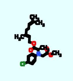 COC(=O)CN(c1ccc(Cl)cc1)[C@H](C)C(=O)OC/C=C(\C)CCC=C(C)C